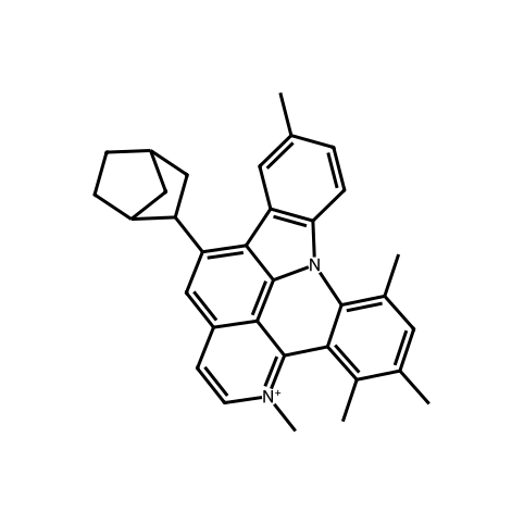 Cc1ccc2c(c1)c1c(C3CC4CCC3C4)cc3cc[n+](C)c4c5c(C)c(C)cc(C)c5n2c1c34